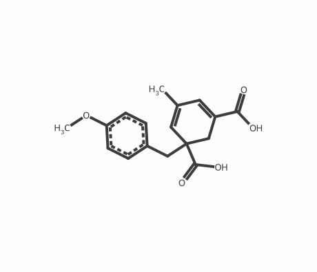 COc1ccc(CC2(C(=O)O)C=C(C)C=C(C(=O)O)C2)cc1